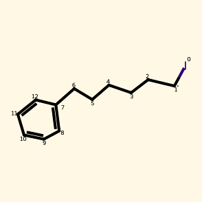 I[CH]CCCCCc1ccccc1